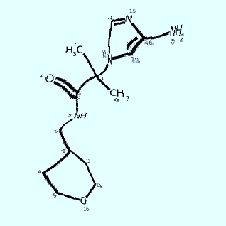 CC(C)(C(=O)NCC1CCOCC1)n1cnc(N)c1